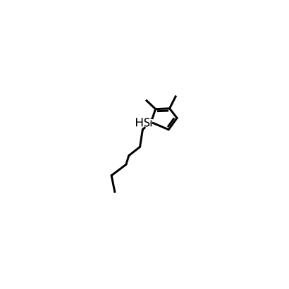 CCCCCC[SiH]1C=CC(C)=C1C